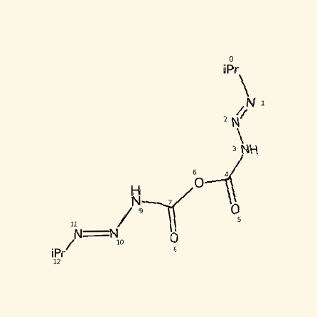 CC(C)/N=N/NC(=O)OC(=O)N/N=N/C(C)C